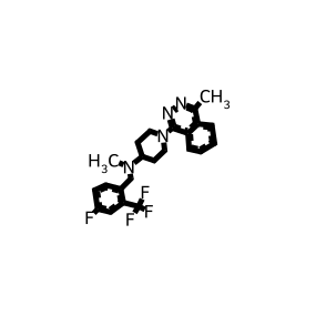 Cc1nnc(N2CCC(N(C)Cc3ccc(F)cc3C(F)(F)F)CC2)c2ccccc12